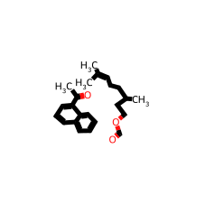 CC(=O)c1cccc2ccccc12.CC(C)=CCCC(C)CCOC=O